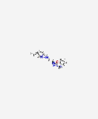 Cc1ccc(CNCCCN=C(NC#N)Oc2ccccc2)nc1